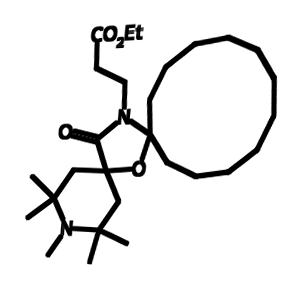 CCOC(=O)CCN1C(=O)C2(CC(C)(C)N(C)C(C)(C)C2)OC12CCCCCCCCCCC2